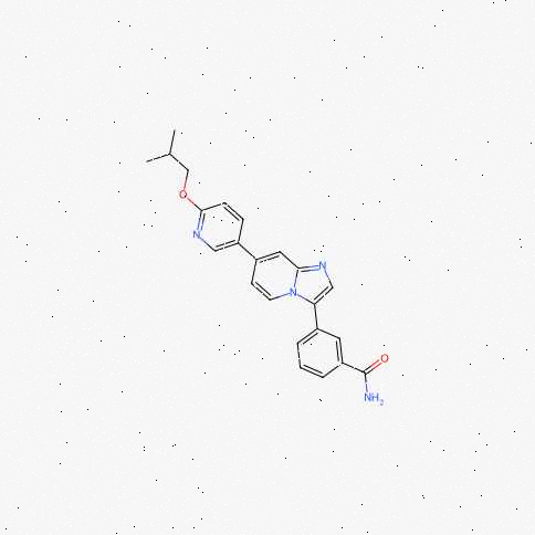 CC(C)COc1ccc(-c2ccn3c(-c4cccc(C(N)=O)c4)cnc3c2)cn1